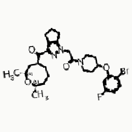 C[C@@H]1CC(C(=O)c2nn(CC(=O)N3CCC(Oc4cc(F)ccc4Br)CC3)c3c2CCC3)CCC[C@H](C)O1